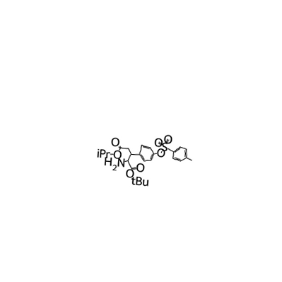 Cc1ccc(S(=O)(=O)Oc2ccc(C(CC(=O)OC(C)C)C(N)C(=O)OC(C)(C)C)cc2)cc1